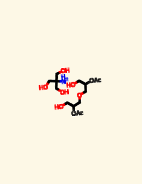 CC(=O)OC(CO)COCC(CO)OC(C)=O.NC(CO)(CO)CO